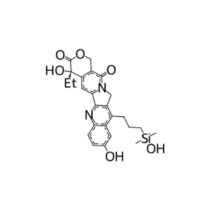 CC[C@@]1(O)C(=O)OCc2c1cc1n(c2=O)Cc2c-1nc1ccc(O)cc1c2CCC[Si](C)(C)O